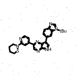 CC(C)(C)n1cnc2ccc(-c3c[nH]c4ncc(-c5ccnc(N6CCCCS6)c5)nc34)cc21